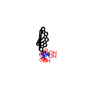 O=C(NC(CO)CO)C1(C(=O)NC(CO)CO)C2c3c4ccc5c6ccc7c8ccc9c%10ccc%11c(c%12c3c3c4c5c4c6c7c5c8c9c6c%10c%11c%12c7c3c4c5c67)C21